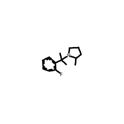 C[C]1CCCN1C(C)(C)c1ccccc1F